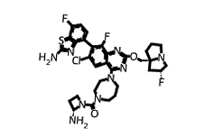 Nc1nc2c(-c3c(Cl)cc4c(N5CCCN(C(=O)N6CC[C@H]6N)CC5)nc(OC[C@@]56CCCN5C[C@H](F)C6)nc4c3F)ccc(F)c2s1